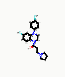 O=C(CCN1CCCC1)N1CCN(c2ccc(F)cc2)c2cc(F)ccc21